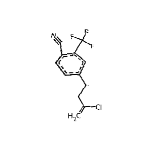 C=C(Cl)C[CH]c1ccc(C#N)c(C(F)(F)F)c1